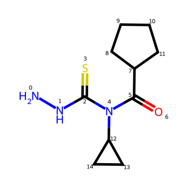 NNC(=S)N(C(=O)C1CCCC1)C1CC1